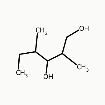 CCC(C)C(O)C(C)CO